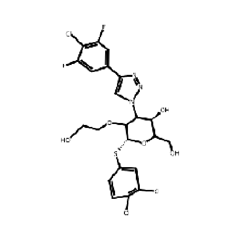 OCCOC1C(n2cc(-c3cc(F)c(Cl)c(F)c3)nn2)[C@@H](O)C(CO)O[C@@H]1Sc1ccc(Cl)c(Cl)c1